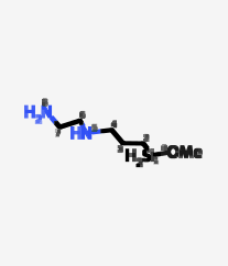 CO[SiH2]CCCNCCN